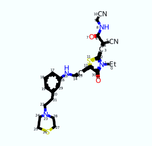 CCn1c(=C=C(C#N)C(=O)NCC#N)sc(=C=CNc2cccc(CCN3CCSCC3)c2)c1=O